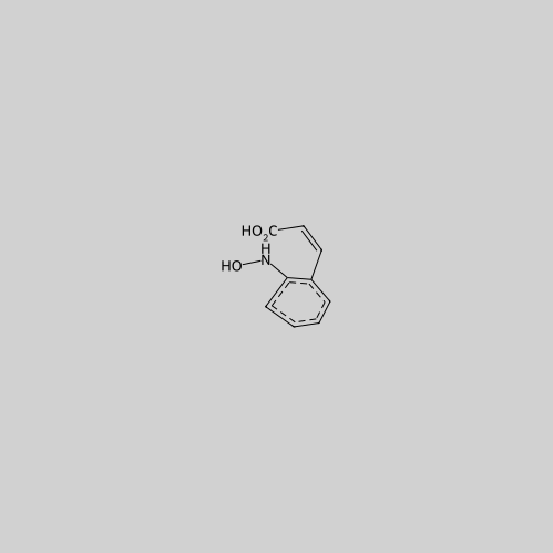 O=C(O)/C=C\c1ccccc1NO